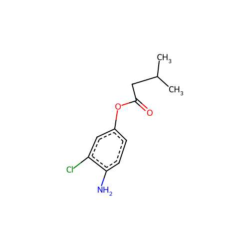 CC(C)CC(=O)Oc1ccc(N)c(Cl)c1